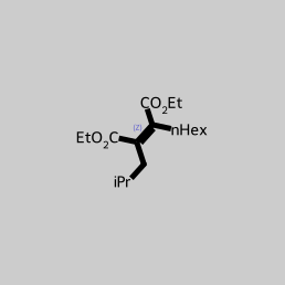 CCCCCC/C(C(=O)OCC)=C(\CC(C)C)C(=O)OCC